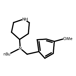 CCCCN(Cc1ccc(OC)cc1)C1CCNCC1